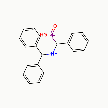 O=[PH](O)C(NC(c1ccccc1)c1ccccc1)c1ccccc1